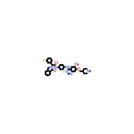 COc1cc2c(Nc3ccc(NC(=O)C(c4cccc(F)c4)N4Cc5ccccc5C4=O)cc3F)ncnc2cc1OCC1CCN(C)CC1